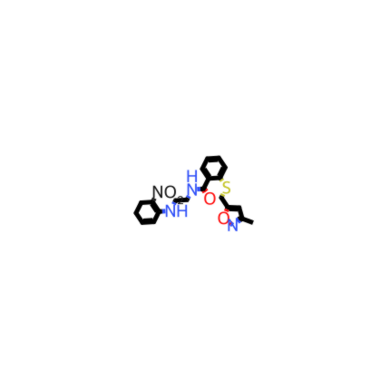 Cc1cc(CSc2ccccc2C(=O)NCCNC2=C([N+](=O)[O-])CCC=C2)on1